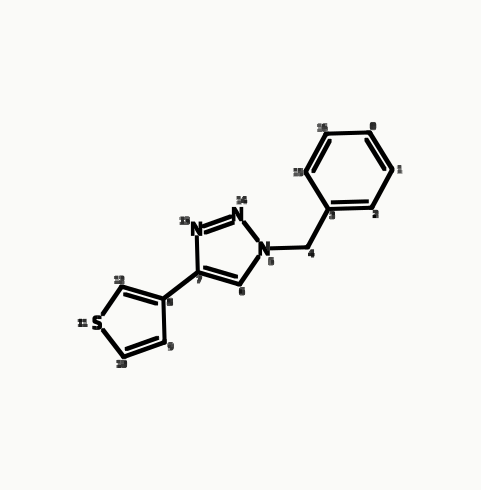 c1ccc(Cn2cc(-c3ccsc3)nn2)cc1